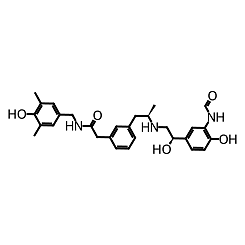 Cc1cc(CNC(=O)Cc2cccc(C[C@@H](C)NC[C@H](O)c3ccc(O)c(NC=O)c3)c2)cc(C)c1O